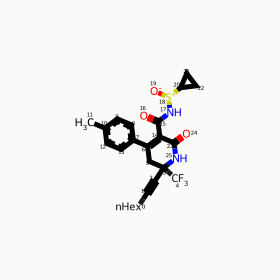 CCCCCCC#CC1(C(F)(F)F)CC(c2ccc(C)cc2)=C(C(=O)N[S+]([O-])C2CC2)C(=O)N1